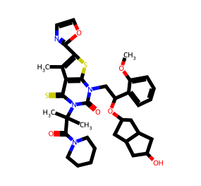 COc1ccccc1C(Cn1c(=O)n(C(C)(C)C(=O)N2CCCCC2)c(=S)c2c(C)c(-c3ncco3)sc21)OC1CC2CC(O)CC2C1